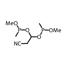 COP(C)OC(CC#N)OP(C)OC